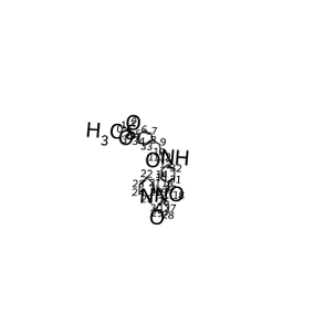 CCS(=O)(=O)c1ccc(CC(=O)Nc2ccc(C(=O)N(c3ccccn3)C3CCOC3)cc2)cc1